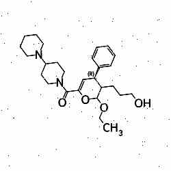 CCOC1OC(C(=O)N2CCC(N3CCCCC3)CC2)=C[C@@H](c2ccccc2)C1CCCO